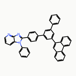 c1ccc(-c2cc(-c3ccc(-c4nc5ncccc5n4-c4ccccc4)cc3)cc(-c3cc4ccccc4c4ccccc34)c2)cc1